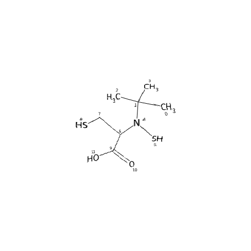 CC(C)(C)N(S)C(CS)C(=O)O